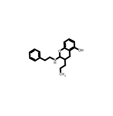 CCCC1Cc2c(O)cccc2OC1NCCc1ccccc1